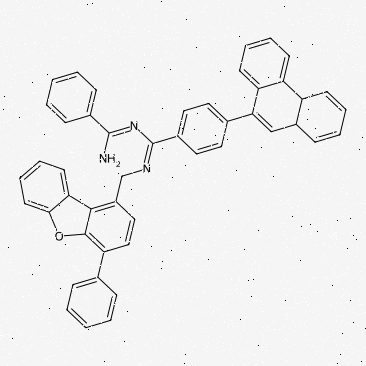 N/C(=N\C(=N/Cc1ccc(-c2ccccc2)c2oc3ccccc3c12)c1ccc(C2=CC3C=CC=CC3c3ccccc32)cc1)c1ccccc1